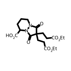 CCOC(=O)CCC1(CCC(=O)OCC)C(=O)N2CCCC(C(=O)O)N2C1=O